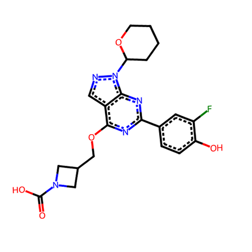 O=C(O)N1CC(COc2nc(-c3ccc(O)c(F)c3)nc3c2cnn3C2CCCCO2)C1